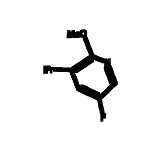 COc1ncc(F)cc1C(C)C